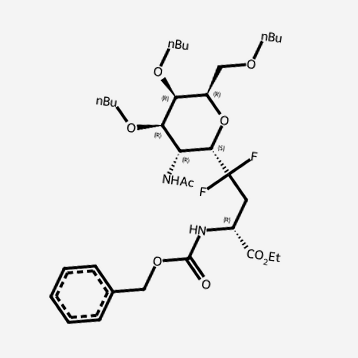 CCCCOC[C@H]1O[C@H](C(F)(F)C[C@@H](NC(=O)OCc2ccccc2)C(=O)OCC)[C@H](NC(C)=O)[C@@H](OCCCC)[C@H]1OCCCC